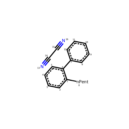 CCCCCc1ccccc1-c1ccccc1.N#CC#N